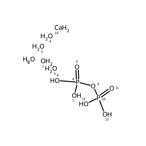 O.O.O.O.O.O=P(O)(O)OP(=O)(O)O.[CaH2]